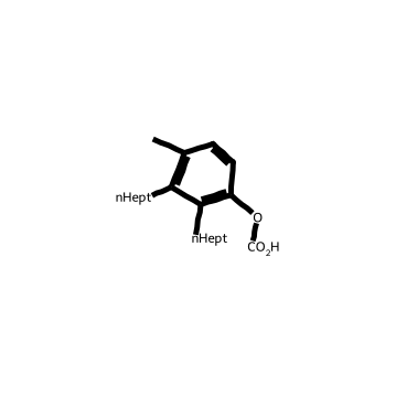 CCCCCCCc1c(C)ccc(OC(=O)O)c1CCCCCCC